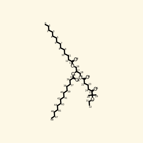 CCCCCCCCCCCCCC(=O)OCC(COC(=O)CCCC(=O)C(C)(C)OCC)OC(=O)CCCCCCCCCCCCC